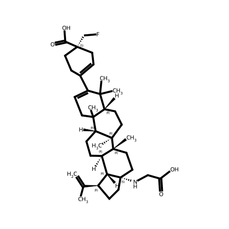 C=C(C)[C@@H]1CC[C@]2(NCC(=O)O)CC[C@]3(C)[C@H](CC[C@@H]4C5(C)CC=C(C6=CC[C@](CF)(C(=O)O)CC6)C(C)(C)[C@@H]5CC[C@]43C)[C@@H]12